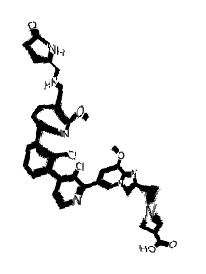 COc1nc(-c2cccc(-c3ccnc(-c4cc(OC)c5nc(CN6CC(C(=O)O)C6)cn5c4)c3Cl)c2Cl)ccc1CNC[C@H]1CCC(=O)N1